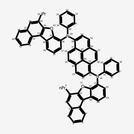 CCCc1cc2ccccc2c2c1oc1c(N(c3ccccc3)c3ccc4ccc5c(N(c6ccccc6)c6cccc7c6oc6c(C(C)C)cc8ccccc8c67)ccc6ccc3c4c65)cccc12